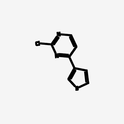 Clc1nccc(-c2ccsc2)n1